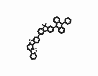 CC1(C)c2ccc(-c3ccc4c(c3)sc3ccc5c6ccccc6sc5c34)cc2-c2ccc(-c3c4ccccc4c(-c4ccccc4)c4ccccc34)cc21